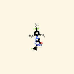 Cc1cc(C(C)(F)F)cc(C)c1-n1cc2c(=O)[nH]c([C@H]3C[C@@H]3F)nc2n1